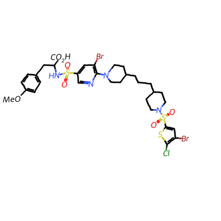 COc1ccc(CC(NS(=O)(=O)c2cnc(N3CCC(CCCC4CCN(S(=O)(=O)c5cc(Br)c(Cl)s5)CC4)CC3)c(Br)c2)C(=O)O)cc1